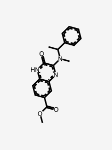 COC(=O)c1ccc2[nH]c(=O)c(N(C)C(C)c3ccccc3)nc2c1